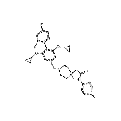 Cc1ccc(N2CC3(CCN(Cc4cc(OC5CC5)c(-c5ncc(F)cc5F)c(OC5CC5)c4)CC3)CC2=O)cc1